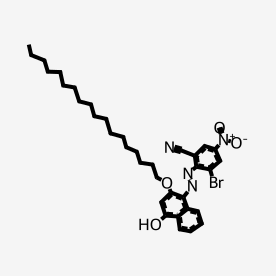 CCCCCCCCCCCCCCCCCCOc1cc(O)c2ccccc2c1N=Nc1c(Br)cc([N+](=O)[O-])cc1C#N